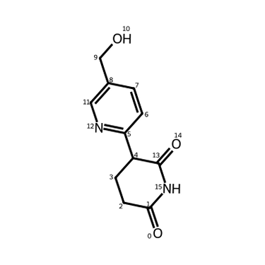 O=C1CCC(c2ccc(CO)cn2)C(=O)N1